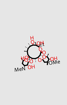 CC[C@H]1OC(=O)[C@H](C)[C@@H](O[C@H]2C[C@@](C)(OC)[C@@H](O)[C@H](C)O2)[C@H](C)[C@@H](O[C@@H]2O[C@H](C)C[C@H](NC)[C@H]2O)[C@](C)(O)C[C@@H](C)[C@H](C)[C@H](C)[C@@H](O)[C@]1(C)O